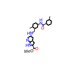 COC(=O)c1cc2cc(NCc3cc(NC(=O)c4cccc(C)c4)ccc3C)cnc2[nH]1